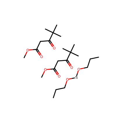 CCC[O][Ti][O]CCC.COC(=O)CC(=O)C(C)(C)C.COC(=O)CC(=O)C(C)(C)C